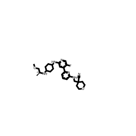 COC[C@H](C)NC1CCC(Nc2cc(-c3cccc(NCC4(C#N)CCOCC4)n3)c(F)cn2)CC1